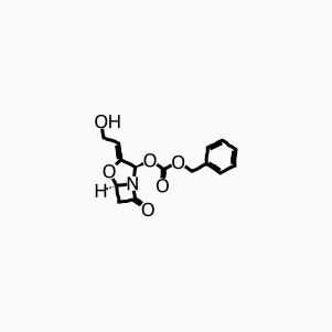 O=C(OCc1ccccc1)O[C@@H]1/C(=C/CO)O[C@@H]2CC(=O)N12